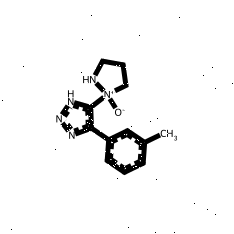 Cc1cccc(-c2nn[nH]c2[N+]2([O-])CCCN2)c1